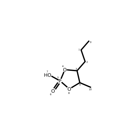 CCCC1OP(=O)(O)OC1C